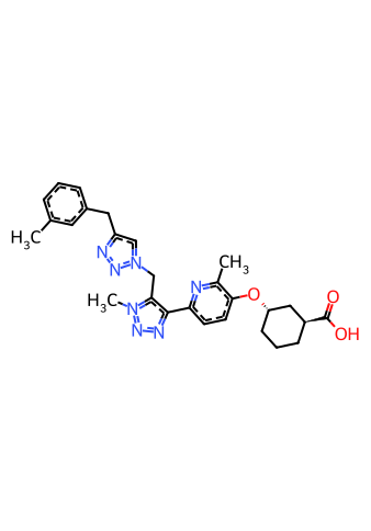 Cc1cccc(Cc2cn(Cc3c(-c4ccc(O[C@H]5CCC[C@H](C(=O)O)C5)c(C)n4)nnn3C)nn2)c1